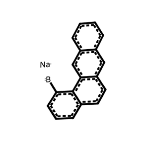 [B]c1cccc2ccc3cc4ccccc4cc3c12.[Na]